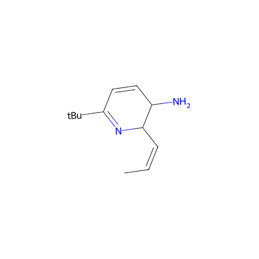 C/C=C\C1N=C(C(C)(C)C)C=CC1N